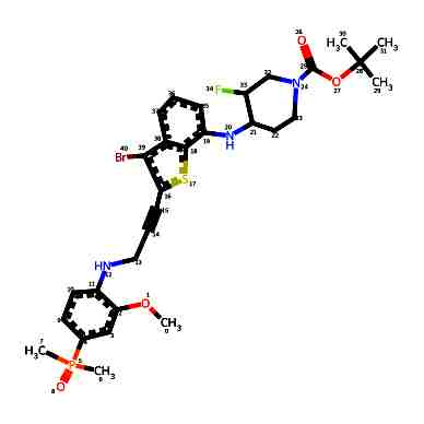 COc1cc(P(C)(C)=O)ccc1NCC#Cc1sc2c(NC3CCN(C(=O)OC(C)(C)C)CC3F)cccc2c1Br